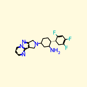 NC1CC(N2Cc3nn4cccnc4c3C2)CC[C@@H]1C1CC(F)=C(F)C=C1F